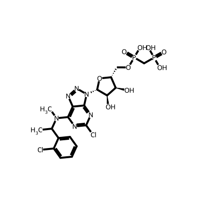 CC(c1ccccc1Cl)N(C)c1nc(Cl)nc2c1nnn2[C@@H]1O[C@H](COP(=O)(O)CP(=O)(O)O)[C@@H](O)[C@H]1O